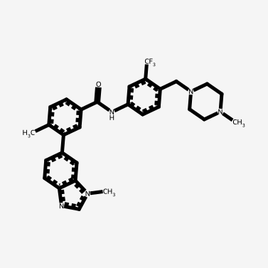 Cc1ccc(C(=O)Nc2ccc(CN3CCN(C)CC3)c(C(F)(F)F)c2)cc1-c1ccc2ncn(C)c2c1